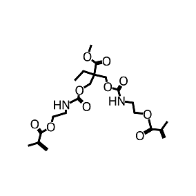 C=C(C)C(=O)OCCNC(=O)OCC(CC)(COC(=O)NCCOC(=O)C(=C)C)C(=O)OC